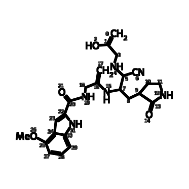 C=C(O)CNC(C#N)C(CC1CCNC1=O)NC(=C)CNC(=O)c1cc2c(OC)cccc2[nH]1